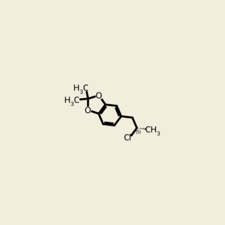 C[C@H](Cl)Cc1ccc2c(c1)OC(C)(C)O2